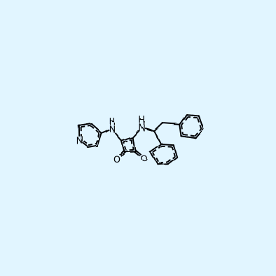 O=c1c(Nc2ccncc2)c(NC(Cc2ccccc2)c2ccccc2)c1=O